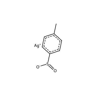 Cc1ccc(S(=O)[O-])cc1.[Ag+]